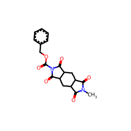 CN1C(=O)C2CC3C(=O)N(C(=O)OCc4ccccc4)C(=O)C3CC2C1=O